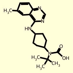 Cc1ccc2ncnc(NC3CCC(N(C(=O)O)C(C)(C)C)CC3)c2c1